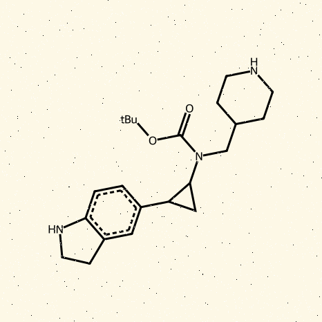 CC(C)(C)OC(=O)N(CC1CCNCC1)C1CC1c1ccc2c(c1)CCN2